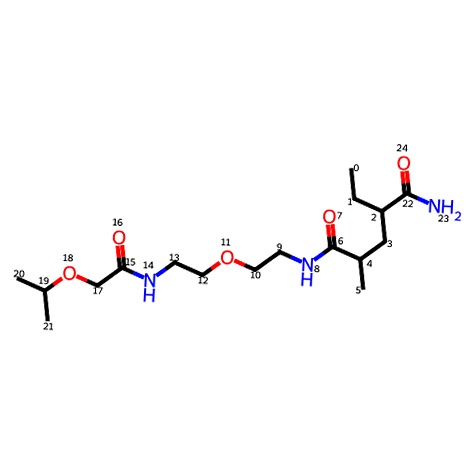 CCC(CC(C)C(=O)NCCOCCNC(=O)COC(C)C)C(N)=O